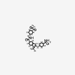 CCS(=O)(=O)c1ccc(CNC(=O)c2ccc3c(c2)cc(Cc2ccc(C(N)=O)cc2)n3C(C)C)cc1